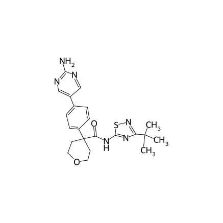 CC(C)(C)c1nsc(NC(=O)C2(c3ccc(-c4cnc(N)nc4)cc3)CCOCC2)n1